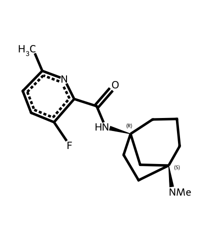 CN[C@@]12CCC[C@@](NC(=O)c3nc(C)ccc3F)(CC1)C2